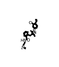 C#Cc1ccc(-n2nc(C)c(Cc3ccccc3C(=O)NCCN(C)C)c2C)cc1Cl